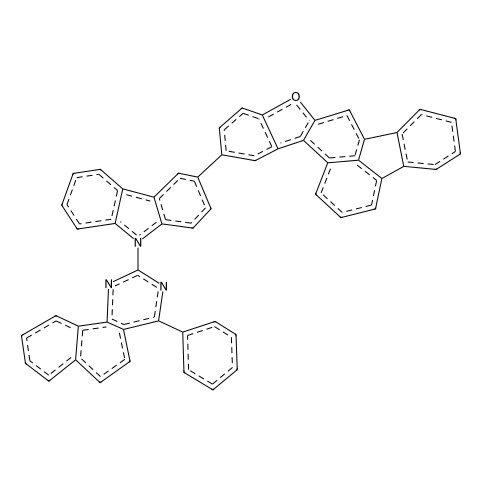 c1ccc(-c2nc(-n3c4ccccc4c4cc(-c5ccc6oc7cc8c9c(cccc9c7c6c5)-c5ccccc5-8)ccc43)nc3c2ccc2ccccc23)cc1